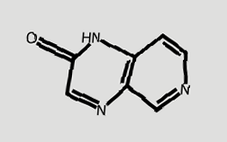 O=c1cnc2cnccc2[nH]1